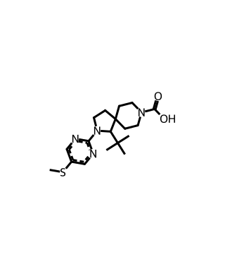 CSc1cnc(N2CCC3(CCN(C(=O)O)CC3)C2C(C)(C)C)nc1